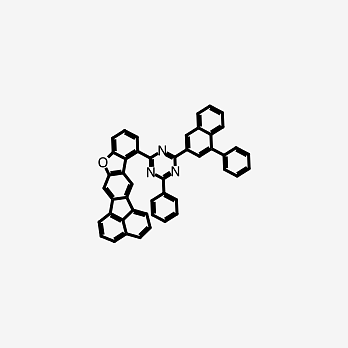 c1ccc(-c2nc(-c3cc(-c4ccccc4)c4ccccc4c3)nc(-c3cccc4oc5cc6c(cc5c34)-c3cccc4cccc-6c34)n2)cc1